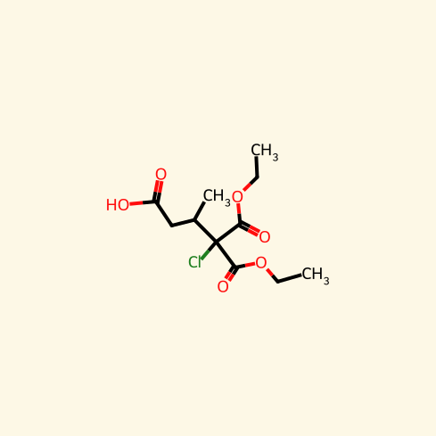 CCOC(=O)C(Cl)(C(=O)OCC)C(C)CC(=O)O